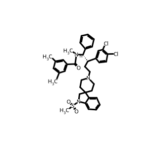 Cc1cc(C)cc(C(=O)N(C)[C@H](c2ccccc2)C(CCN2CCC3(CC2)CN(S(C)(=O)=O)c2ccccc23)c2ccc(Cl)c(Cl)c2)c1